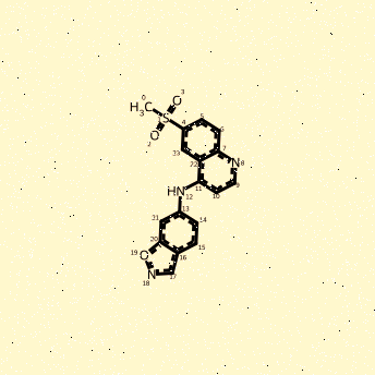 CS(=O)(=O)c1ccc2nccc(Nc3ccc4cnoc4c3)c2c1